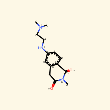 CN(C)CCNc1ccc2c(c1)CC(=O)N(C)C2=O